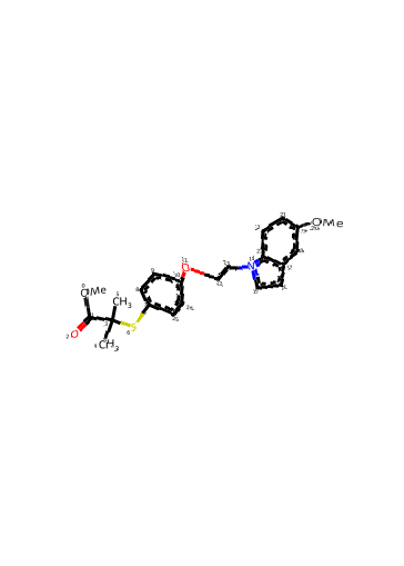 COC(=O)C(C)(C)Sc1ccc(OCCn2ccc3cc(OC)ccc32)cc1